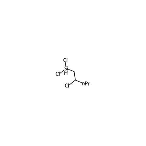 CCCC(Cl)C[SiH](Cl)Cl